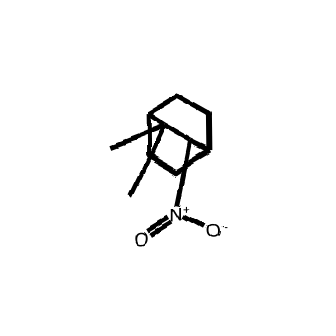 CC1(C)C2CCC(CC2)C1[N+](=O)[O-]